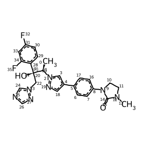 C[C@@H](n1cc(-c2ccc(N3CCN(C)C3=O)cc2)cn1)[C@](O)(Cn1cncn1)c1ccc(F)cc1F